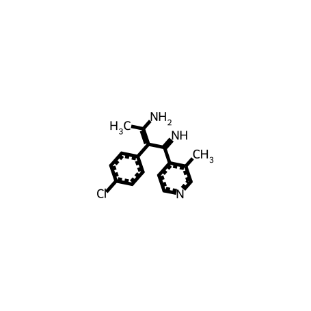 C/C(N)=C(/C(=N)c1ccncc1C)c1ccc(Cl)cc1